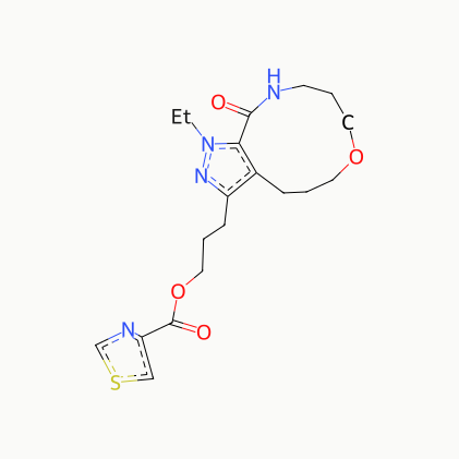 CCn1nc(CCCOC(=O)c2cscn2)c2c1C(=O)NCCCOCCC2